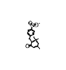 CC1=CC(=O)C(Cc2ccc([N+](=O)[O-])cc2)C(C)(C)C1